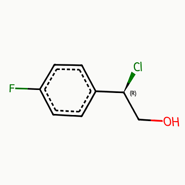 OC[C@H](Cl)c1ccc(F)cc1